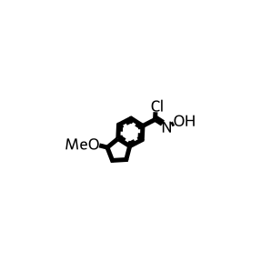 COC1CCc2cc(C(Cl)=NO)ccc21